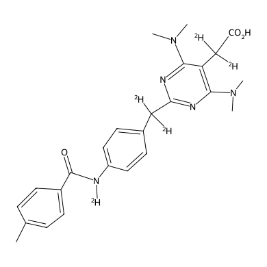 [2H]N(C(=O)c1ccc(C)cc1)c1ccc(C([2H])([2H])c2nc(N(C)C)c(C([2H])([2H])C(=O)O)c(N(C)C)n2)cc1